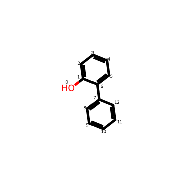 Oc1cc[c]cc1-c1ccccc1